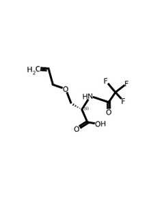 C=CCOC[C@H](NC(=O)C(F)(F)F)C(=O)O